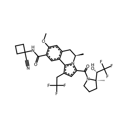 COc1cc2c(cc1C(=O)NC1(C#N)CCC1)-c1c(CC(F)(F)F)cc(C(=O)N3CCC[C@]3(C)[C@H](O)C(F)(F)F)n1[C@H](C)C2